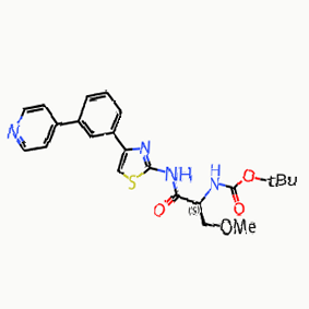 COC[C@H](NC(=O)OC(C)(C)C)C(=O)Nc1nc(-c2cccc(-c3ccncc3)c2)cs1